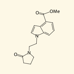 COC(=O)c1cccc2c1ccn2CCN1CCCC1=O